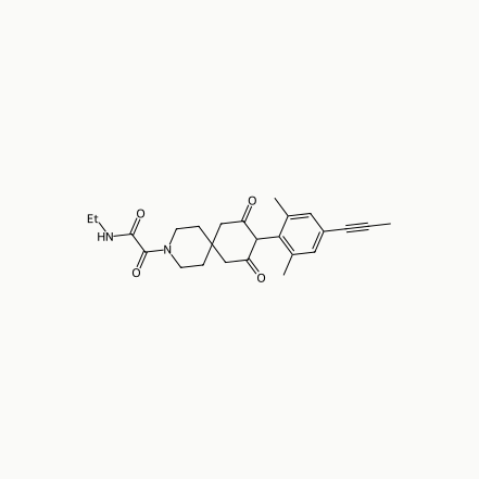 CC#Cc1cc(C)c(C2C(=O)CC3(CCN(C(=O)C(=O)NCC)CC3)CC2=O)c(C)c1